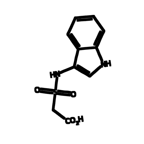 O=C(O)CS(=O)(=O)Nc1c[nH]c2ccccc12